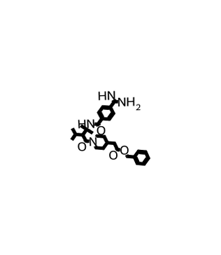 CC(C)C(C(=O)N1CCC(CC(=O)OCc2ccccc2)CC1)C(C)(C)NC(=O)c1ccc(C(=N)N)cc1